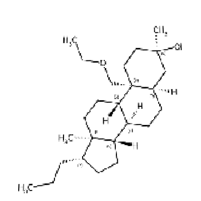 CCC[C@H]1CC[C@H]2[C@@H]3CC[C@@H]4C[C@](C)(O)CC[C@]4(COCC)[C@H]3CC[C@]12C